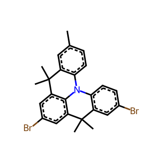 Cc1ccc2c(c1)C(C)(C)c1cc(Br)cc3c1N2c1ccc(Br)cc1C3(C)C